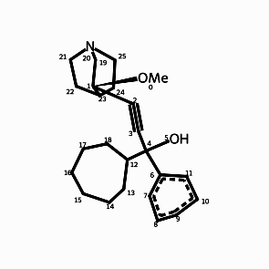 CO[C@]1(C#CC(O)(c2ccccc2)C2CCCCCC2)CN2CCC1CC2